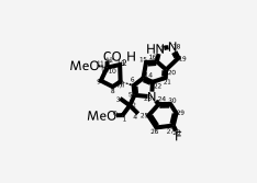 COCC(C)(C)c1c([C@@H]2CC[C@@](OC)(C(=O)O)C2)c2cc3[nH]ncc3cc2n1-c1ccc(F)cc1